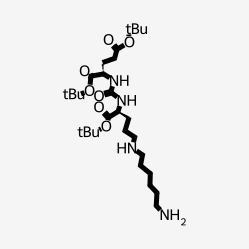 CC(C)(C)OC(=O)CC[C@H](NC(=O)N[C@@H](CCCNCCCCCCN)C(=O)OC(C)(C)C)C(=O)OC(C)(C)C